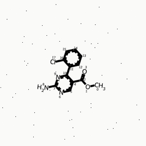 COC(=O)c1cnc(N)nc1-c1ccccc1Cl